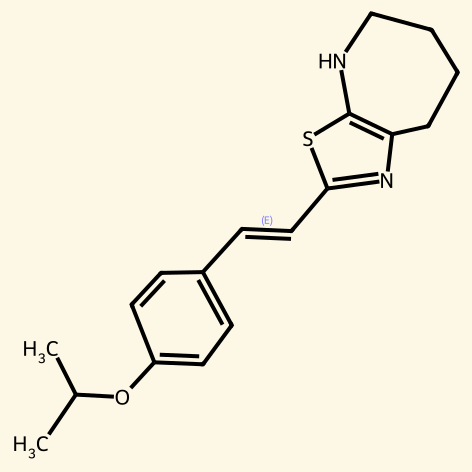 CC(C)Oc1ccc(/C=C/c2nc3c(s2)NCCCC3)cc1